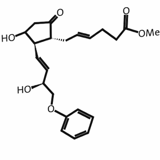 COC(=O)CC/C=C/C[C@H]1C(=O)CC(O)[C@@H]1/C=C/[C@H](O)COc1ccccc1